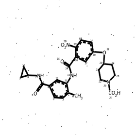 Cc1ccc(C(=O)NC2CC2)cc1NC(=O)c1cc(OC2CCN(C(=O)O)CC2)ccc1[N+](=O)[O-]